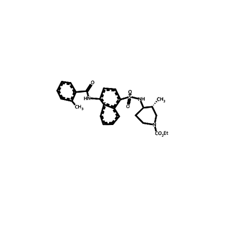 CCOC(=O)N1CCC(NS(=O)(=O)c2ccc(NC(=O)c3ccccc3C)c3ccccc23)[C@H](C)C1